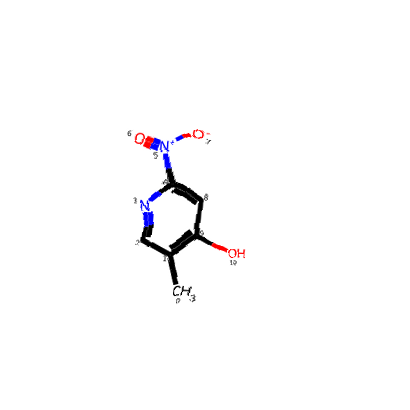 Cc1cnc([N+](=O)[O-])cc1O